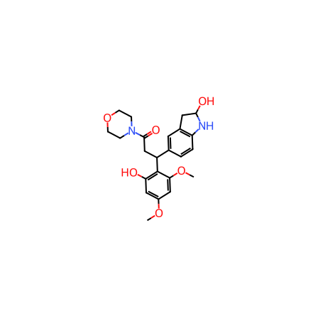 COc1cc(O)c(C(CC(=O)N2CCOCC2)c2ccc3c(c2)CC(O)N3)c(OC)c1